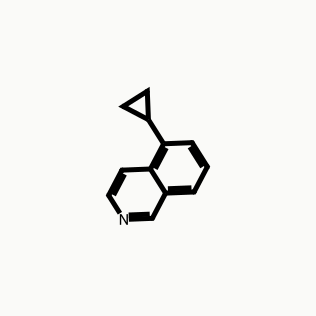 c1cc(C2CC2)c2ccncc2c1